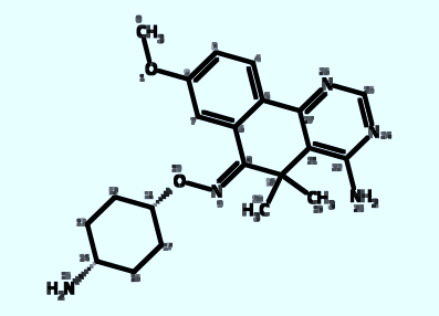 COc1ccc2c(c1)C(=NO[C@H]1CC[C@@H](N)CC1)C(C)(C)c1c(N)ncnc1-2